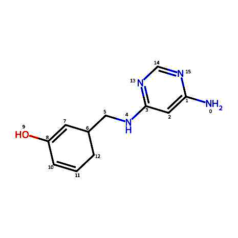 Nc1cc(NCC2C=C(O)C=CC2)ncn1